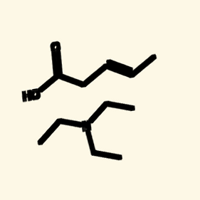 C/C=C/CC(=O)O.CCN(CC)CC